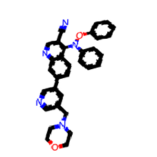 N#Cc1cnc2cc(-c3cncc(CN4CCOCC4)c3)ccc2c1N(Oc1ccccc1)c1ccccc1